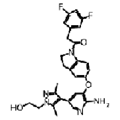 Cc1nn(CCO)c(C)c1-c1cnc(N)c(Oc2ccc3c(c2)CCN3C(=O)Cc2cc(F)cc(F)c2)c1